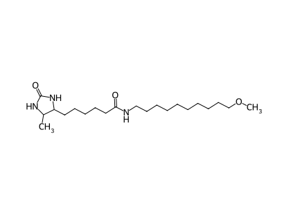 COCCCCCCCCCCNC(=O)CCCCCC1NC(=O)NC1C